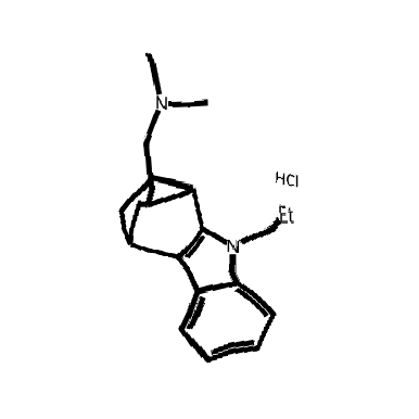 CCn1c2c(c3ccccc31)C1CCC2C(CN(C)C)C1.Cl